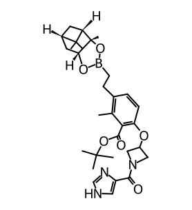 Cc1c(CCB2O[C@@H]3C[C@@H]4C[C@@H](C4(C)C)[C@]3(C)O2)ccc(OC2CN(C(=O)c3c[nH]cn3)C2)c1C(=O)OC(C)(C)C